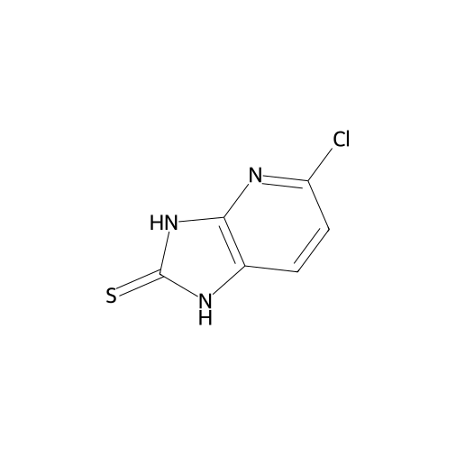 S=c1[nH]c2ccc(Cl)nc2[nH]1